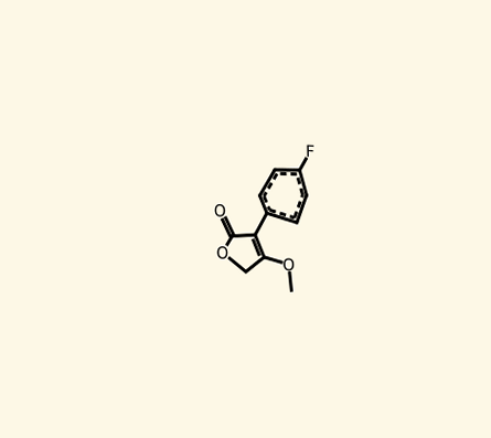 COC1=C(c2ccc(F)cc2)C(=O)OC1